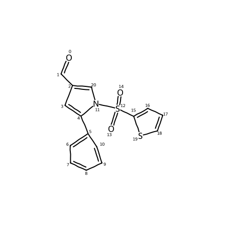 O=Cc1cc(-c2ccccc2)n(S(=O)(=O)c2cccs2)c1